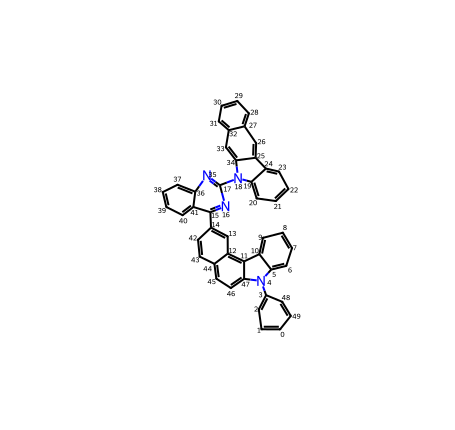 c1ccc(-n2c3ccccc3c3c4cc(-c5nc(-n6c7ccccc7c7cc8ccccc8cc76)nc6ccccc56)ccc4ccc32)cc1